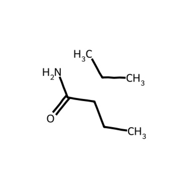 CCC.CCCC(N)=O